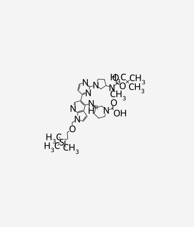 CN(C(=O)OC(C)(C)C)C1CCN(c2nccc(-c3cnc4c(ccn4COCC[Si](C)(C)C)c3N[C@@H]3CCCN(C(=O)O)C3)n2)C1